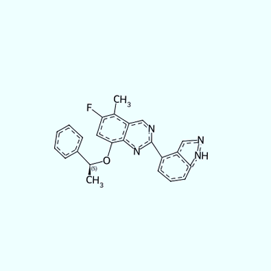 Cc1c(F)cc(O[C@@H](C)c2ccccc2)c2nc(-c3cccc4[nH]ncc34)ncc12